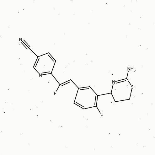 N#Cc1ccc(/C(F)=C/c2ccc(F)c(C3CCSC(N)=N3)c2)nc1